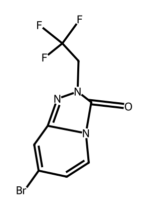 O=c1n(CC(F)(F)F)nc2cc(Br)ccn12